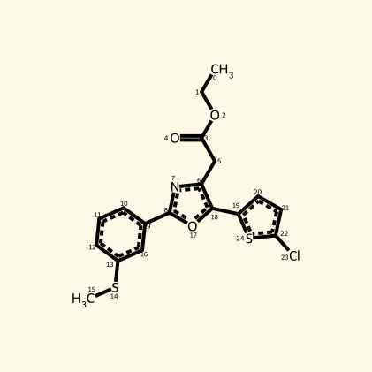 CCOC(=O)Cc1nc(-c2cccc(SC)c2)oc1-c1ccc(Cl)s1